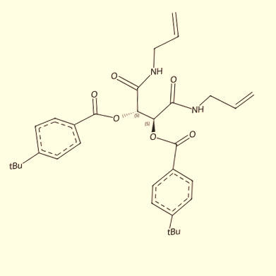 C=CCNC(=O)[C@@H](OC(=O)c1ccc(C(C)(C)C)cc1)[C@H](OC(=O)c1ccc(C(C)(C)C)cc1)C(=O)NCC=C